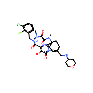 CN(C)C(=O)C(=O)N(C)C12CCC(CNC3CCOCC3)(CC1)Cn1c2nc(C(=O)NCc2cccc(Cl)c2F)c(O)c1=O